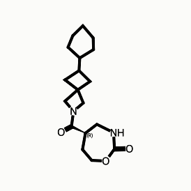 O=C1NC[C@H](C(=O)N2CC3(CC(C4CCCCC4)C3)C2)CCO1